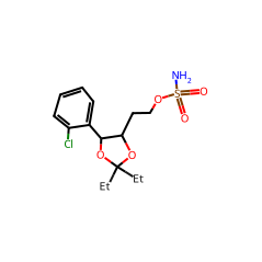 CCC1(CC)OC(CCOS(N)(=O)=O)C(c2ccccc2Cl)O1